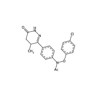 CC(=O)N(Oc1ccc(Cl)cc1)c1ccc(C2=NNC(=O)CC2C)cc1